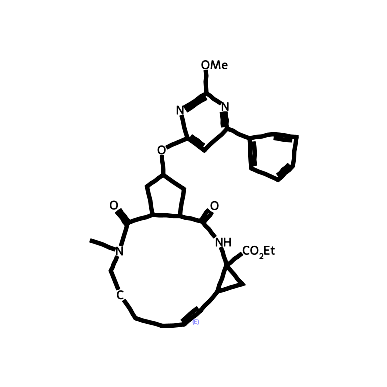 CCOC(=O)C12CC1/C=C/CCCCN(C)C(=O)C1CC(Oc3cc(-c4ccccc4)nc(OC)n3)CC1C(=O)N2